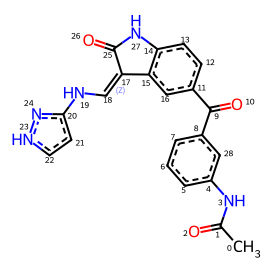 CC(=O)Nc1cccc(C(=O)c2ccc3c(c2)/C(=C/Nc2cc[nH]n2)C(=O)N3)c1